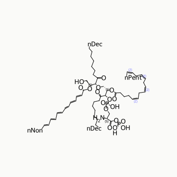 CCCCC/C=C\C/C=C\C/C=C\C/C=C\CCCC(=O)O[C@@H](COC(C(=O)CCCCCCCCCCCCCCCCC)[C@H](CO)OC(=O)C=CC=CC=CC=CC=CC=CCCCCCCCCC)C(OP(=O)(O)OC[C@H](N)C(=O)OP(=O)(O)O)C(=O)CCCCCCCCCCCCCCCCC